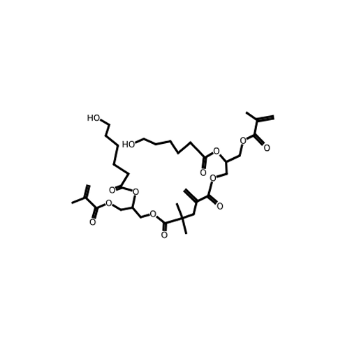 C=C(C)C(=O)OCC(COC(=O)C(=C)CC(C)(C)C(=O)OCC(COC(=O)C(=C)C)OC(=O)CCCCCO)OC(=O)CCCCCO